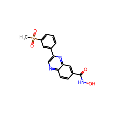 CS(=O)(=O)c1cccc(-c2cnc3ccc(C(=O)NO)cc3n2)c1